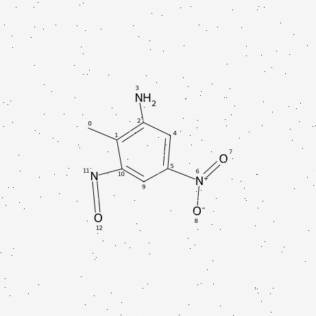 Cc1c(N)cc([N+](=O)[O-])cc1N=O